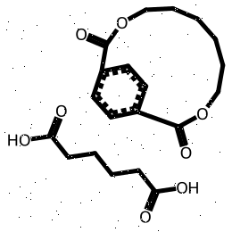 O=C(O)CCCCC(=O)O.O=C1OCCCCCCOC(=O)c2ccc1cc2